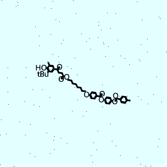 Cc1ccc(C(=O)Oc2ccc(OC(=O)c3ccc(OCCCCCCCCOC(=O)CCC(=O)c4cc(C)c(O)c(C(C)(C)C)c4)cc3)cc2)cc1